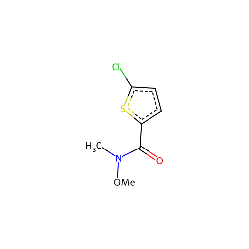 CON(C)C(=O)c1ccc(Cl)s1